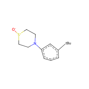 CC(C)(C)c1cccc(N2CC[S+]([O-])CC2)c1